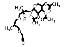 C#CCOCC(C)COCC(C)(C)COC1OCC(OC(C)=O)C(OC(C)=O)C1OC(C)=O